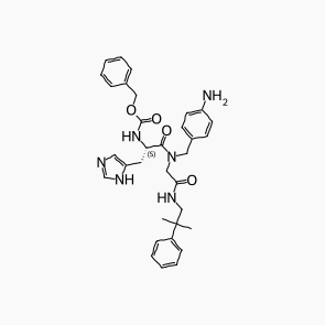 CC(C)(CNC(=O)CN(Cc1ccc(N)cc1)C(=O)[C@H](Cc1cnc[nH]1)NC(=O)OCc1ccccc1)c1ccccc1